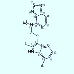 CC(=O)N(CCc1c(C)[nH]c2c(C)cccc12)c1cccc2nsnc12